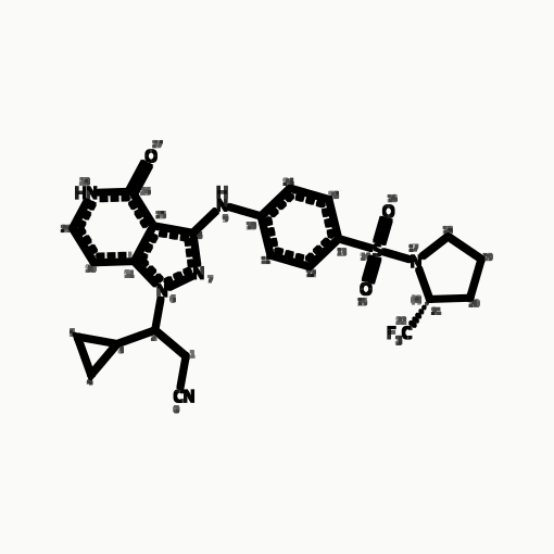 N#CCC(C1CC1)n1nc(Nc2ccc(S(=O)(=O)N3CCC[C@@H]3C(F)(F)F)cc2)c2c(=O)[nH]ccc21